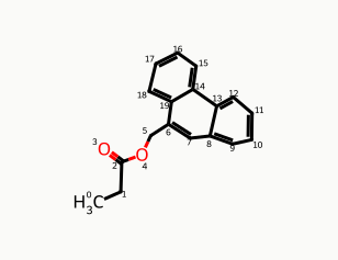 CCC(=O)OCc1cc2ccccc2c2ccccc12